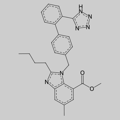 CCCCc1nc2cc(C)cc(C(=O)OC)c2n1Cc1ccc(-c2ccccc2-c2nnn[nH]2)cc1